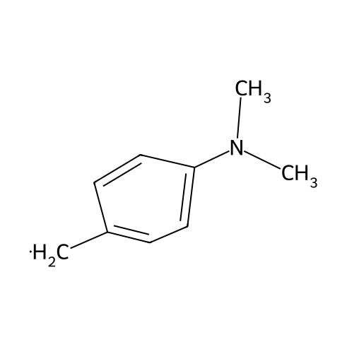 [CH2]c1ccc(N(C)C)cc1